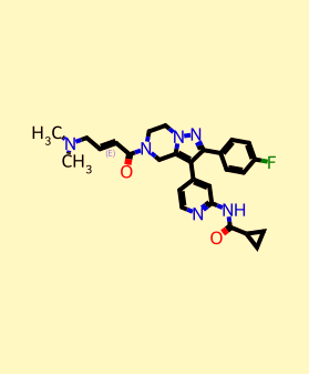 CN(C)C/C=C/C(=O)N1CCn2nc(-c3ccc(F)cc3)c(-c3ccnc(NC(=O)C4CC4)c3)c2C1